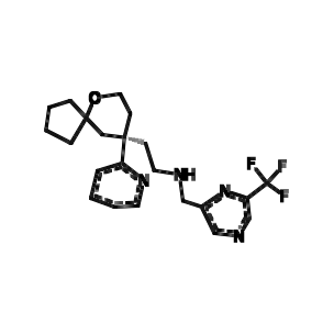 FC(F)(F)c1cncc(CNCC[C@@]2(c3ccccn3)CCOC3(CCCC3)C2)n1